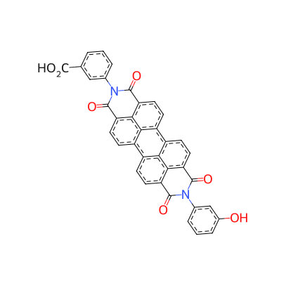 O=C(O)c1cccc(N2C(=O)c3ccc4c5ccc6c7c(ccc(c8ccc(c3c48)C2=O)c75)C(=O)N(c2cccc(O)c2)C6=O)c1